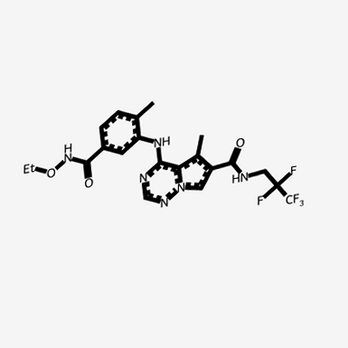 CCONC(=O)c1ccc(C)c(Nc2ncnn3cc(C(=O)NCC(F)(F)C(F)(F)F)c(C)c23)c1